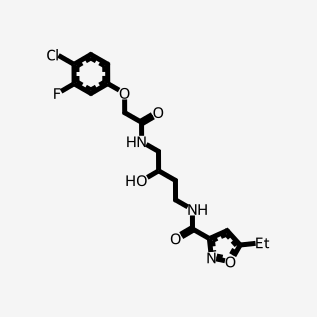 CCc1cc(C(=O)NCCC(O)CNC(=O)COc2ccc(Cl)c(F)c2)no1